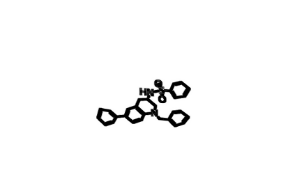 O=S(=O)(N[C@@H]1Cc2cc(-c3ccccc3)ccc2N(Cc2ccccc2)C1)c1ccccc1